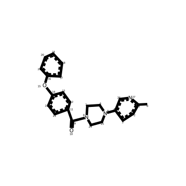 Cc1ccc(N2CCN(C(=O)c3ccc(Oc4ccccc4)cc3)CC2)cn1